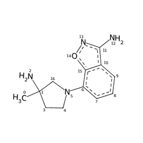 CC1(N)CCN(c2cccc3c(N)noc23)C1